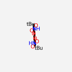 CC(C)(C)C(=O)CNC(=O)COCCOCC(=O)NCC(=O)C(C)(C)C